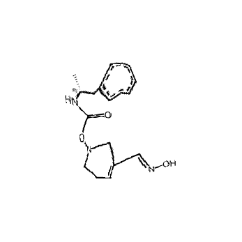 C[C@@H](NC(=O)ON1CCC=C(C=NO)C1)c1ccccc1